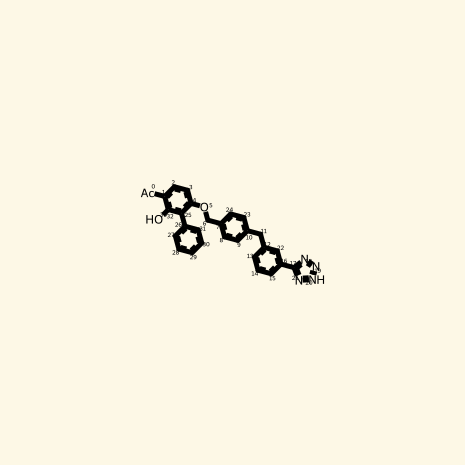 CC(=O)c1ccc(OCc2ccc(Cc3cccc(-c4nn[nH]n4)c3)cc2)c(-c2ccccc2)c1O